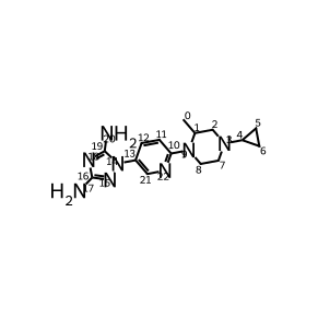 CC1CN(C2CC2)CCN1c1ccc(-n2nc(N)nc2N)cn1